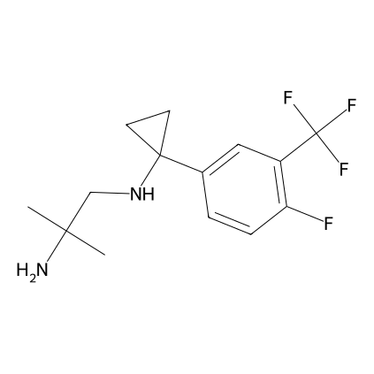 CC(C)(N)CNC1(c2ccc(F)c(C(F)(F)F)c2)CC1